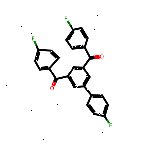 O=C(c1ccc(F)cc1)c1cc(C(=O)c2ccc(F)cc2)cc(-c2ccc(F)cc2)c1